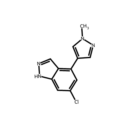 Cn1cc(-c2cc(Cl)cc3[nH]ncc23)cn1